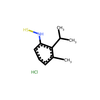 Cc1cccc(NS)c1C(C)C.Cl